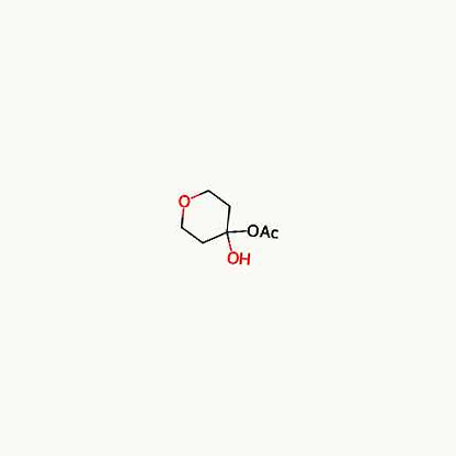 CC(=O)OC1(O)CCOCC1